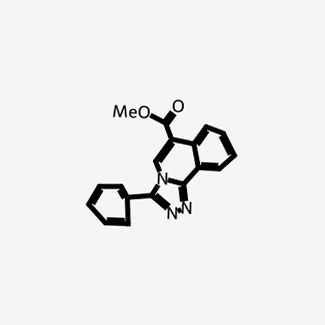 COC(=O)c1cn2c(-c3ccccc3)nnc2c2ccccc12